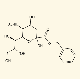 CC(=O)NC1C(O)CC(O)(C(=O)OCc2ccccc2)OC1[C@H](O)[C@H](O)CO